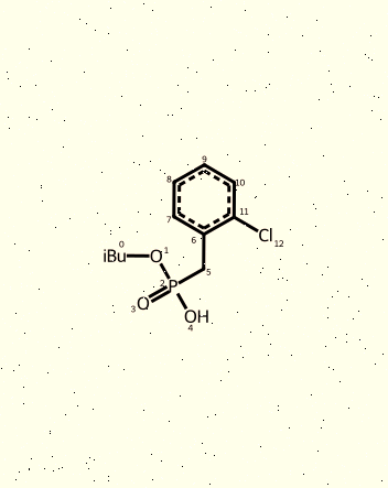 CCC(C)OP(=O)(O)Cc1ccccc1Cl